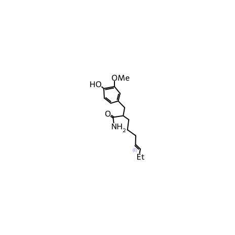 CC/C=C/CCCC(Cc1ccc(O)c(OC)c1)C(N)=O